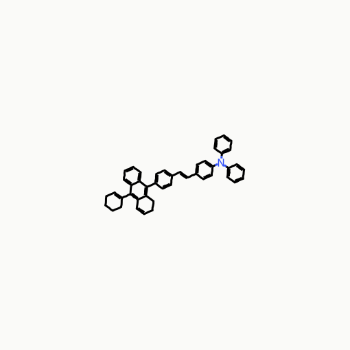 C1=Cc2c(c(-c3ccc(/C=C/c4ccc(N(c5ccccc5)c5ccccc5)cc4)cc3)c3ccccc3c2C2=CCCCC2)CC1